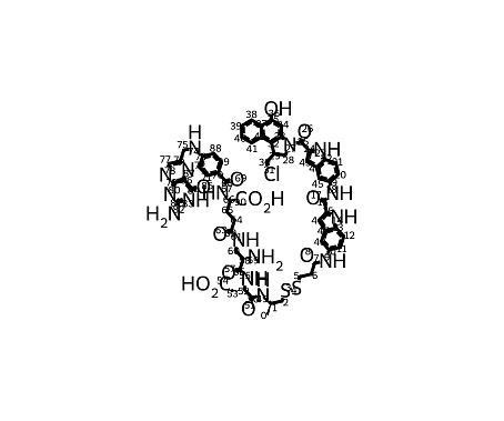 C[C@H](CSSCCC(=O)Nc1ccc2[nH]c(C(=O)Nc3ccc4[nH]c(C(=O)N5CC(CCl)c6c5cc(O)c5ccccc65)cc4c3)cc2c1)NC(=O)[C@H](CC(=O)O)NC(=O)[C@@H](N)CNC(=O)CC[C@@H](NC(=O)c1ccc(NCc2cnc3nc(N)[nH]c(=O)c3n2)cc1)C(=O)O